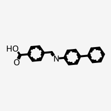 O=C(O)c1ccc(C=Nc2ccc(-c3ccccc3)cc2)cc1